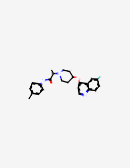 Cc1ccc(NC(=O)C(C)N2CCC(Oc3ccnc4ccc(F)cc34)CC2)cc1